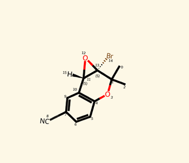 CC1(C)Oc2ccc(C#N)cc2[C@@H]2O[C@]21Br